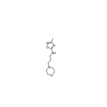 Cc1noc(NCCCN2CCOCC2)n1